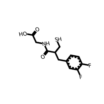 O=C(O)CNC(=O)C(CS)Cc1ccc(F)c(F)c1